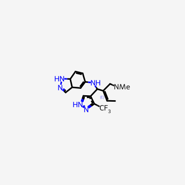 C/C=C(\CNC)C(NC1=CC2C=NNC2C=C1)c1c[nH]nc1C(F)(F)F